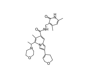 Cc1cc(C)c(CNC(=O)c2cc3cc(C4=CCOCC4)cn3c(C(C)N3CCOCC3)c2C)c(=O)[nH]1